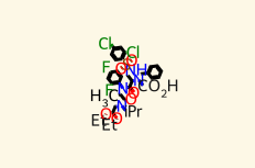 CCOC(CN(C(=O)C(C)N(C(=O)C(CNS(=O)(=O)c1ccc(Cl)cc1Cl)N(Cc1ccccc1)C(=O)O)c1ccc(F)cc1F)C(C)C)OCC